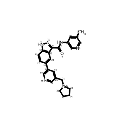 Cc1cncc(NC(=O)c2n[nH]c3ccc(-c4cncc(CN5CCCC5)c4)cc23)c1